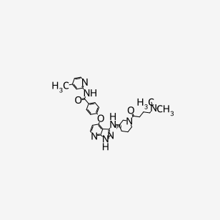 Cc1ccnc(NC(=O)c2ccc(Oc3ccnc4[nH]nc(N[C@@H]5CCCN(C(=O)CCCN(C)C)C5)c34)cc2)c1